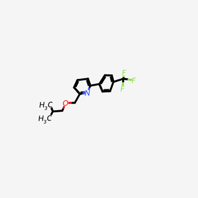 CC(C)COCc1cccc(-c2ccc(C(F)(F)F)cc2)n1